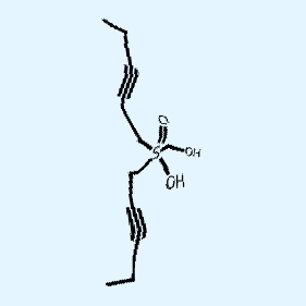 CCC#CCS(=O)(O)(O)CC#CCC